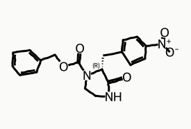 O=C1NCCN(C(=O)OCc2ccccc2)[C@@H]1Cc1ccc([N+](=O)[O-])cc1